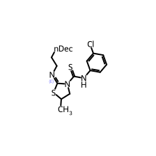 CCCCCCCCCCCC/N=C1/SC(C)CN1C(=S)Nc1cccc(Cl)c1